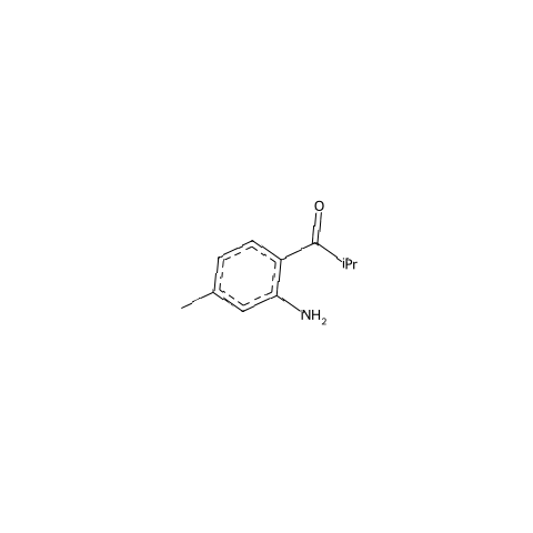 Cc1ccc(C(=O)C(C)C)c(N)c1